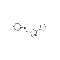 c1ccc(OCc2cc(C3CCCC3)no2)cc1